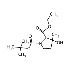 CCOC(=O)C1N(C(=O)OC(C)(C)C)CCC1(C)O